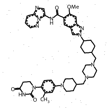 COc1cc2nn(C3CCC(CN4CCN(CC5CCN(c6ccc(N7CCC(=O)NC7=O)c(C)c6)CC5)CC4)CC3)cc2cc1C(=O)Nc1cnc2cccnn12